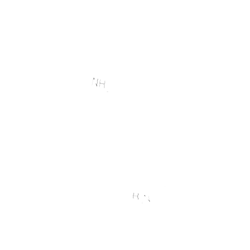 C[C@H](N)CC=CC[C@H](C)N